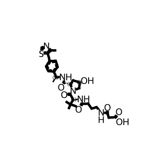 Cc1ncsc1-c1ccc([C@H](C)NC(=O)[C@@H]2C[C@@H](O)CN2C(=O)[C@@H](NC(=O)CCCNC(=O)CC(=O)O)C(C)(C)C)cc1